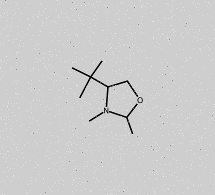 CC1OCC(C(C)(C)C)N1C